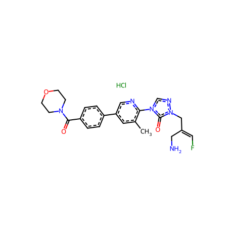 Cc1cc(-c2ccc(C(=O)N3CCOCC3)cc2)cnc1-n1cnn(C/C(=C/F)CN)c1=O.Cl